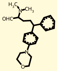 CN(C)C(C=O)CCC(c1ccccc1)c1ccc(N2CCOCC2)cc1